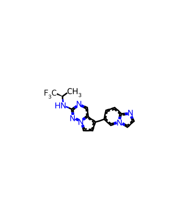 C[C@@H](Nc1ncc2c(-c3ccc4nccn4c3)ccn2n1)C(F)(F)F